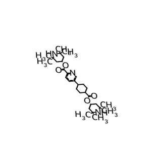 CC1(C)CC(OC(=O)c2ccc(C3CCC(C(=O)OC4CC(C)(C)NC(C)(C)C4)CC3)cn2)CC(C)(C)N1